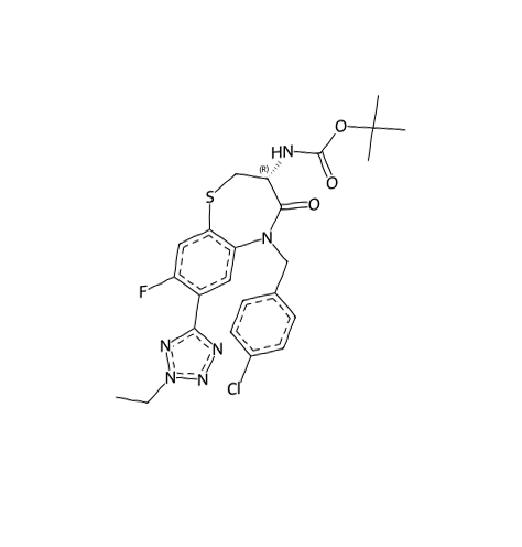 CCn1nnc(-c2cc3c(cc2F)SC[C@H](NC(=O)OC(C)(C)C)C(=O)N3Cc2ccc(Cl)cc2)n1